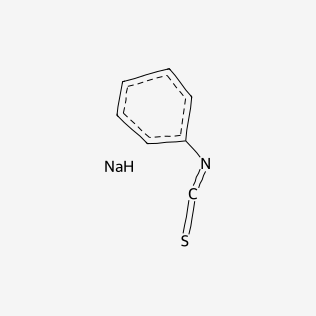 S=C=Nc1ccccc1.[NaH]